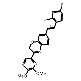 COc1ncc(C2=Nc3ccc(/C=C/c4ccc(F)cc4F)cc3OC2)nc1OC